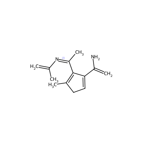 C=C(C)/N=C(/C)C1=C(C)CC=C1C(=C)N